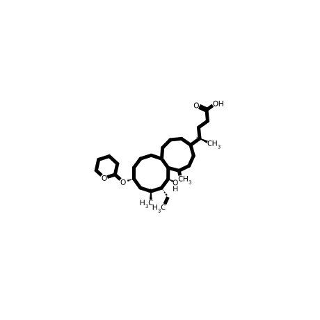 CC[C@@H]1[C@@H](C)C[C@H](OC2CCCCO2)CCCC2CCCC([C@H](C)CCC(=O)O)CCC(C)C2[C@@H]1O